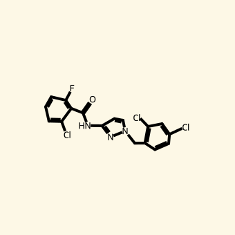 O=C(Nc1ccn(Cc2ccc(Cl)cc2Cl)n1)c1c(F)cccc1Cl